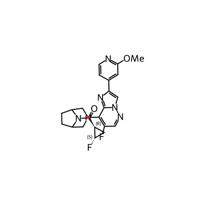 COc1cc(-c2cn3ncc(F)c(N4CC5CCC(C4)N5C(=O)[C@H]4C[C@@H]4F)c3n2)ccn1